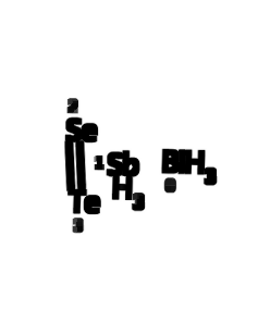 [BiH3].[SbH3].[Se]=[Te]